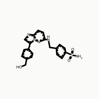 NS(=O)(=O)c1ccc(CNc2ccc3ncc(-c4ccc(CO)cc4)n3n2)cc1